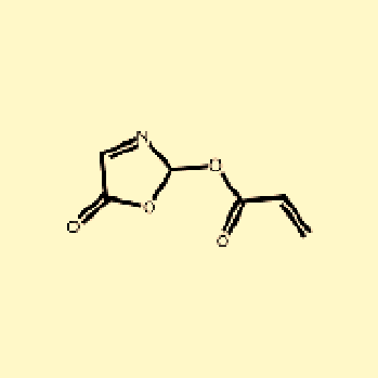 C=CC(=O)OC1N=CC(=O)O1